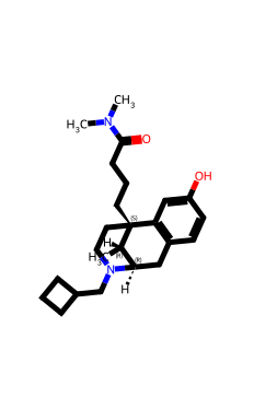 C[C@H]1[C@H]2Cc3ccc(O)cc3[C@@]1(CCCC(=O)N(C)C)CCN2CC1CCC1